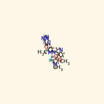 COc1ccc2nccc(Nc3ccc(Oc4cc5ncnn5cn4)c(C)c3)c2c1OC1CCN(C)CC1(F)F